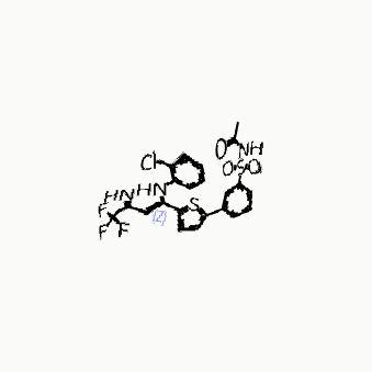 CC(=O)NS(=O)(=O)c1cccc(-c2ccc(/C(=C/C(=N)C(F)(F)F)Nc3ccccc3Cl)s2)c1